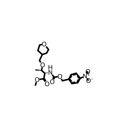 COC(=O)[C@@H](NC(=O)OCc1ccc([N+](=O)[O-])cc1)[C@@H](C)OCC1CCOCC1